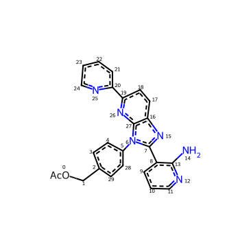 CC(=O)OCc1ccc(-n2c(-c3cccnc3N)nc3ccc(-c4ccccn4)nc32)cc1